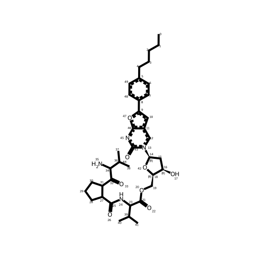 CCCCCc1ccc(-c2cc3cn([C@H]4C[C@@H](O)[C@@H](COC(=O)C(NC(=O)C5CCCC5C(=O)C(N)C(C)C)C(C)C)O4)c(=O)nc3o2)cc1